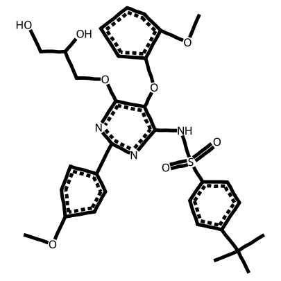 COc1ccc(-c2nc(NS(=O)(=O)c3ccc(C(C)(C)C)cc3)c(Oc3ccccc3OC)c(OCC(O)CO)n2)cc1